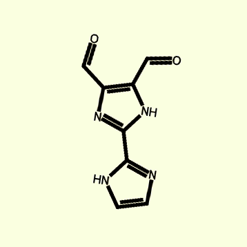 O=Cc1nc(-c2ncc[nH]2)[nH]c1C=O